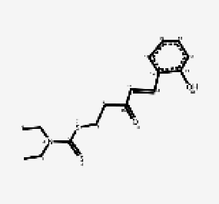 CCN(CC)C(=S)SCCC(=O)C=Cc1ccccc1O